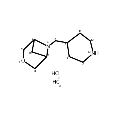 C1CC(CN2C3COCC2C3)CCN1.Cl.Cl